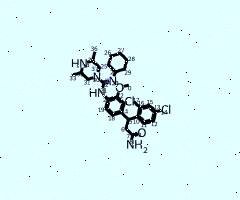 COc1cc(C(CC(N)=O)c2ccc(Cl)cc2Cl)ccc1N/C(=N/C1CCCCC1)N1CC(C)NC(C)C1